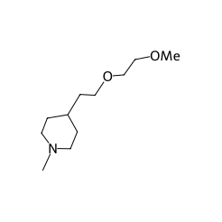 COCCOCCC1CCN(C)CC1